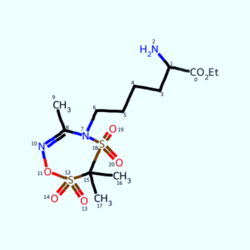 CCOC(=O)C(N)CCCCN1C(C)=NOS(=O)(=O)C(C)(C)S1(=O)=O